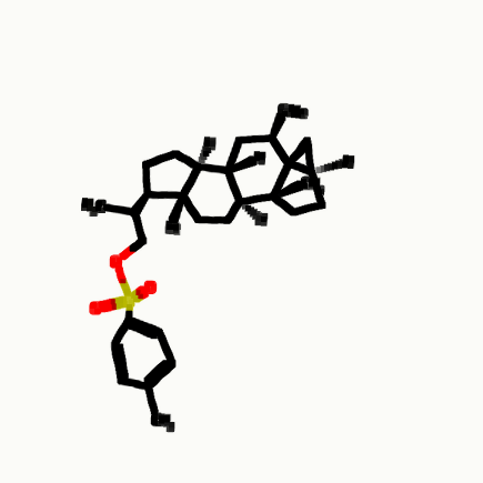 CC[C@]12CC[C@H]3[C@@H](C[C@@H](OC)[C@]45C[C@H]4CC[C@]35C)[C@@H]1CC[C@@H]2C(C)COS(=O)(=O)c1ccc(C)cc1